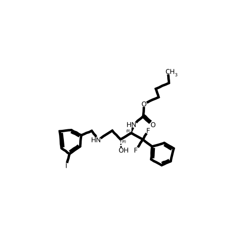 CCCCOC(=O)N[C@H]([C@H](O)CNCc1cccc(I)c1)C(F)(F)c1ccccc1